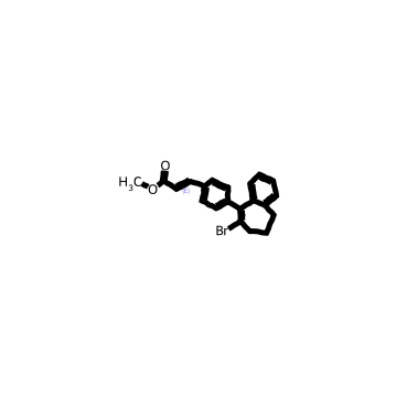 COC(=O)/C=C/c1ccc(C2=C(Br)CCCc3ccccc32)cc1